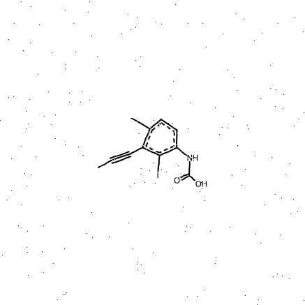 CC#Cc1c(C)ccc(NC(=O)O)c1I